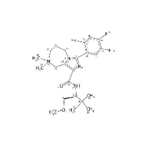 COC[C@@H](NC(=O)c1nc(-c2cc(F)c(F)cc2F)n2c1C[N+](C)(C)CCC2)C(C)(C)C